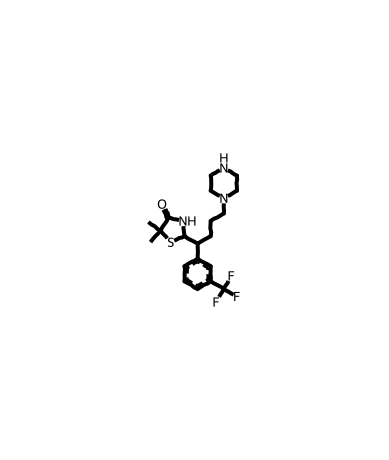 CC1(C)SC(C(CCCN2CCNCC2)c2cccc(C(F)(F)F)c2)NC1=O